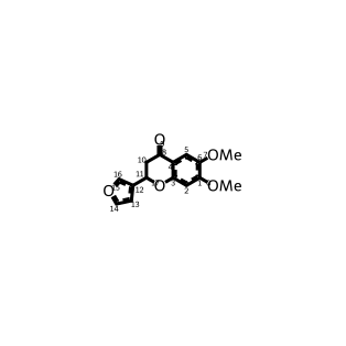 COc1cc2c(cc1OC)C(=O)CC(c1ccoc1)O2